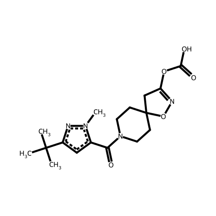 Cn1nc(C(C)(C)C)cc1C(=O)N1CCC2(CC1)CC(OC(=O)O)=NO2